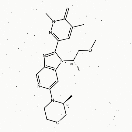 C=C1C(C)=CC(c2nc3cnc(N4CCOC[C@@H]4C)cc3n2[C@@H](C)COC)=NN1C